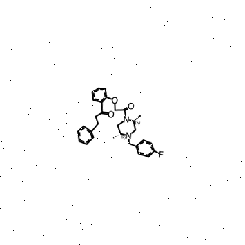 C[C@@H]1CN(C(=O)COc2ccccc2C(=O)CCc2ccccc2)[C@@H](C)CN1Cc1ccc(F)cc1